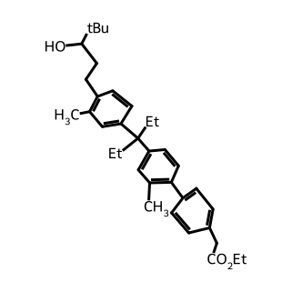 CCOC(=O)Cc1ccc(-c2ccc(C(CC)(CC)c3ccc(CCC(O)C(C)(C)C)c(C)c3)cc2C)cc1